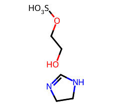 C1=NCCN1.O=S(=O)(O)OCCO